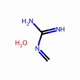 C=NC(=N)N.O